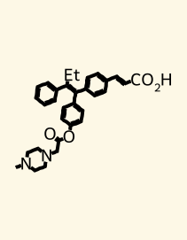 CC/C(=C(\c1ccc(/C=C/C(=O)O)cc1)c1ccc(OC(=O)CN2CCN(C)CC2)cc1)c1ccccc1